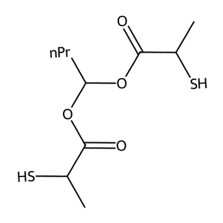 CCCC(OC(=O)C(C)S)OC(=O)C(C)S